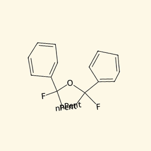 CCCCCC(F)(OC(F)(CCCCC)c1ccccc1)c1ccccc1